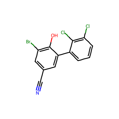 N#Cc1cc(Br)c(O)c(-c2cccc(Cl)c2Cl)c1